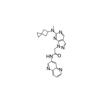 CN(c1ncc2cnn(CC(=O)Nc3cnc4cccnc4c3)c2n1)C1CC2(CC2)C1